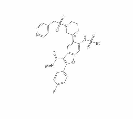 CCS(=O)(=O)Nc1cc2oc(-c3ccc(F)cc3)c(C(=O)NC)c2cc1[C@@H]1CCCN(S(=O)(=O)Cc2ccncc2)C1